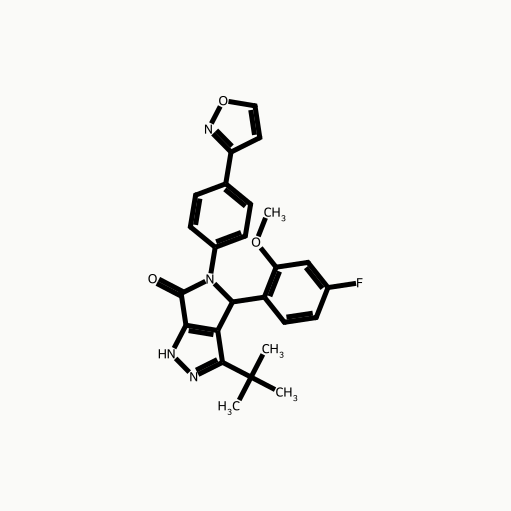 COc1cc(F)ccc1C1c2c(C(C)(C)C)n[nH]c2C(=O)N1c1ccc(-c2ccon2)cc1